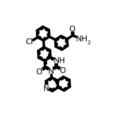 NC(=O)c1cccc(-c2cccc(Cl)c2-c2ccc3c(=O)n(-c4cncc5ccccc45)c(=O)[nH]c3c2)c1